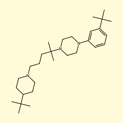 CC(C)(C)c1cccc(N2CCN(C(C)(C)CCCN3CCC(C(C)(C)C)CC3)CC2)c1